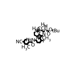 Cc1cc(C#N)cnc1C(=O)Nc1ccc(F)c([C@@]2(C)N=C(NC(=O)OC(C)(C)C)C(C)(C)[S@@]3(=O)=NCCC[C@@H]23)n1